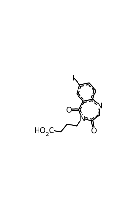 O=C(O)CCCn1c(=O)cnc2ccc(I)cc2c1=O